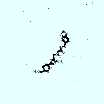 CCc1ccc(-c2nc(C[S+]([O-])CC(=O)NCc3ccc4c(c3)OCO4)c(C)o2)cc1